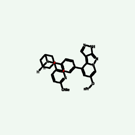 CCCOc1cc(-c2ccc(N3CC4C[C@@H](C3)N4Cc3ccc(OC)nc3)nc2)c2c3cn[nH]c3nn2c1